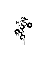 Cc1csc(Nc2ncc(SC(c3ccccn3)C3CCNCC3)cc2Oc2ccccc2)n1